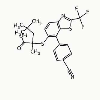 CC(C)(C)CC(C)(Sc1ccc2nc(C(F)(F)F)sc2c1-c1ccc(C#N)cc1)C(=O)O